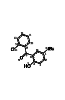 CC(C)(C)c1ccc(O)c(C(=O)c2ccccc2Cl)c1